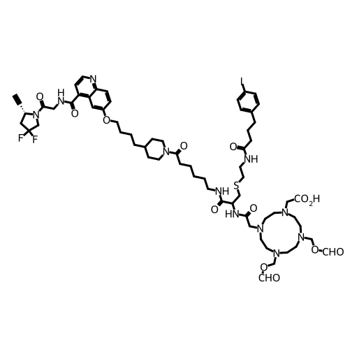 C#C[C@H]1CC(F)(F)CN1C(=O)CNC(=O)c1ccnc2ccc(OCCCCC3CCN(C(=O)CCCCCNC(=O)C(CSCCNC(=O)CCCc4ccc(I)cc4)NC(=O)CN4CCN(COC=O)CCN(COC=O)CCN(CC(=O)O)CC4)CC3)cc12